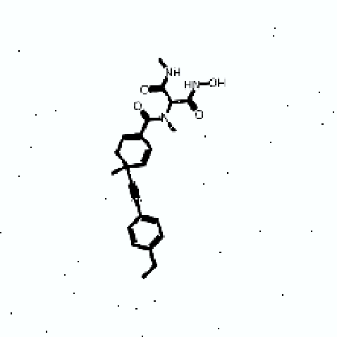 CCc1ccc(C#CC2(C)C=CC(C(=O)N(C)C(C(=O)NC)C(=O)NO)=CC2)cc1